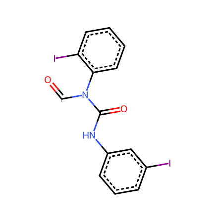 O=[C]N(C(=O)Nc1cccc(I)c1)c1ccccc1I